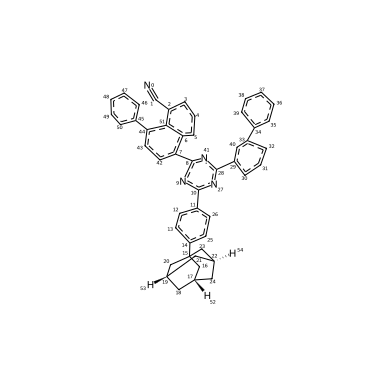 N#Cc1cccc2c(-c3nc(-c4ccc(C56C[C@H]7C[C@H](C5)C[C@@H](C6)C7)cc4)nc(-c4cccc(-c5ccccc5)c4)n3)ccc(-c3ccccc3)c12